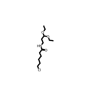 CCOC(CCNC(=O)CCCCCCl)OCC